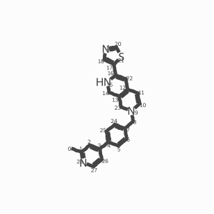 Cc1cc(-c2ccc(CN3C=CC4=C(CNC(c5cncs5)=C4)C3)cc2)ccn1